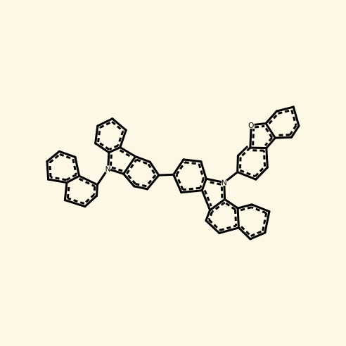 c1ccc2c(-n3c4ccccc4c4cc(-c5ccc6c(c5)c5ccc7ccccc7c5n6-c5ccc6c(c5)oc5ccccc56)ccc43)cccc2c1